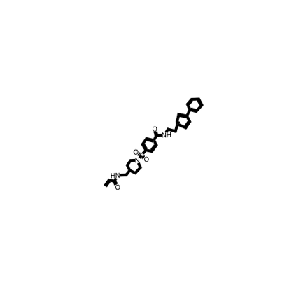 C=CC(=O)NCC1CCN(S(=O)(=O)c2ccc(C(=O)NCCc3ccc(-c4ccccc4)cc3)cc2)CC1